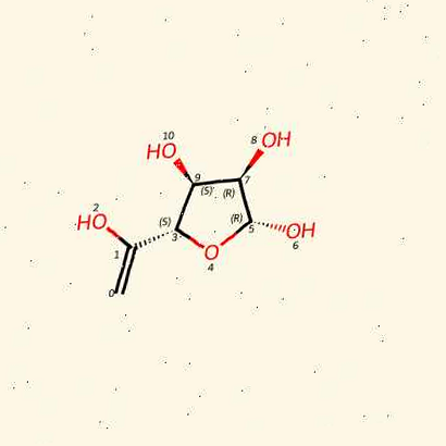 C=C(O)[C@H]1O[C@@H](O)[C@H](O)[C@@H]1O